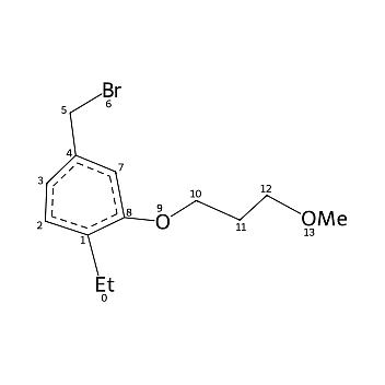 CCc1ccc(CBr)cc1OCCCOC